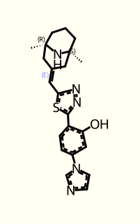 C[C@]12CCC[C@](C)(C/C(=C/c3nnc(-c4ccc(-n5ccnc5)cc4O)s3)C1)N2